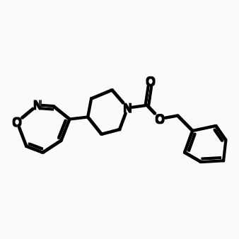 O=C(OCc1ccccc1)N1CCC(C2=CC=CON=C2)CC1